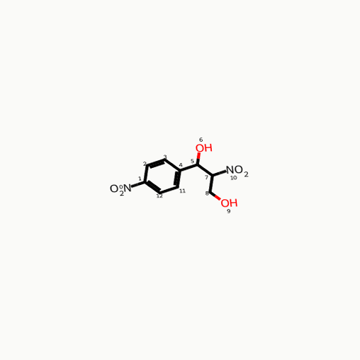 O=[N+]([O-])c1ccc(C(O)C(CO)[N+](=O)[O-])cc1